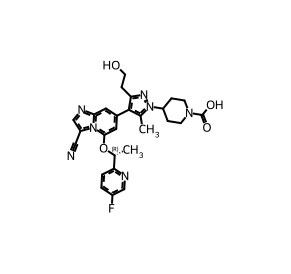 Cc1c(-c2cc(O[C@H](C)c3ccc(F)cn3)n3c(C#N)cnc3c2)c(CCO)nn1C1CCN(C(=O)O)CC1